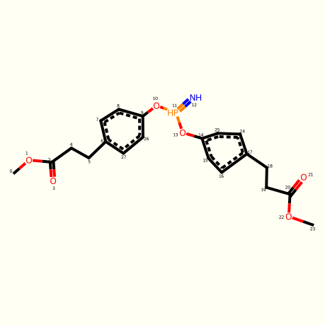 COC(=O)CCc1ccc(O[PH](=N)Oc2ccc(CCC(=O)OC)cc2)cc1